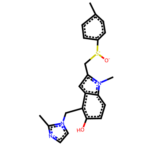 Cc1ccc([S+]([O-])Cc2cc3c(Cn4ccnc4C)c(O)ccc3n2C)cc1